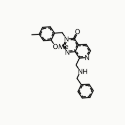 COc1cc(C)ccc1Cn1cnc2c(CNCc3ccccc3)nccc2c1=O